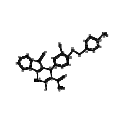 COC(=O)C1=C(C)NC2=C(C(=O)c3ccccc32)C1c1ccc(OCc2ccc([N+](=O)[O-])cc2)c(Cl)c1